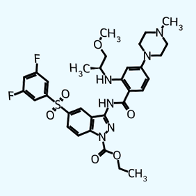 CCOC(=O)n1nc(NC(=O)c2ccc(N3CCN(C)CC3)cc2N[C@@H](C)COC)c2cc(S(=O)(=O)c3cc(F)cc(F)c3)ccc21